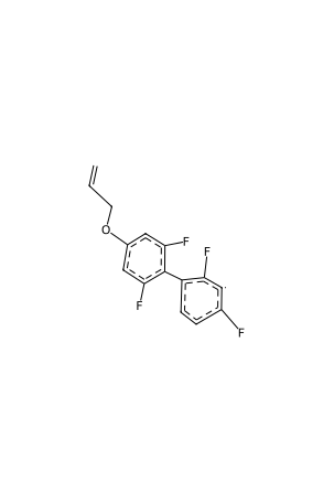 C=CCOc1cc(F)c(-c2ccc(F)[c]c2F)c(F)c1